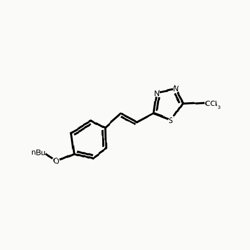 CCCCOc1ccc(C=Cc2nnc(C(Cl)(Cl)Cl)s2)cc1